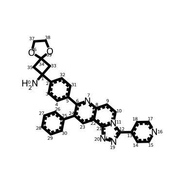 NC1(c2ccc(-c3nc4ccn5c(-c6ccncc6)nnc5c4cc3-c3ccccc3)cc2)CC2(C1)OCCO2